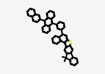 CC1(C)c2ccccc2-c2cc3sc4cc(-c5cccc(-c6c7ccccc7c(-c7ccc8ccccc8c7)c7ccccc67)c5)c5ccccc5c4c3cc21